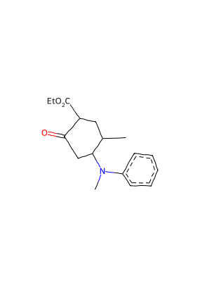 CCOC(=O)C1CC(C)C(N(C)c2ccccc2)CC1=O